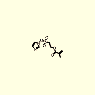 C=C(C)C(=O)OCCS(=O)(=O)On1ccnc1